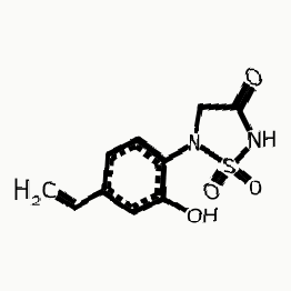 C=Cc1ccc(N2CC(=O)NS2(=O)=O)c(O)c1